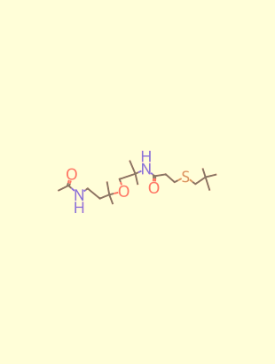 CC(=O)NCCC(C)(C)OCC(C)(C)NC(=O)CCSCC(C)(C)C